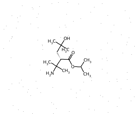 CC(C)OC(=O)[C@@H](CC(C)(C)O)C(C)(C)N